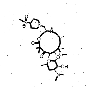 CO[C@]1(C)C[C@@H](C)CN(C)[C@H](CN2CCC(S(C)(=O)=O)CC2)COC(=O)C(C)(C)C(=O)[C@H](C)[C@H]1O[C@@H]1O[C@H](C)C[C@H](N(C)C)[C@H]1O